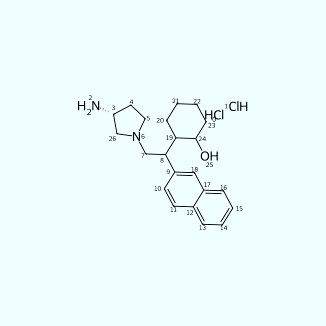 Cl.Cl.N[C@@H]1CCN(CC(c2ccc3ccccc3c2)C2CCCCC2O)C1